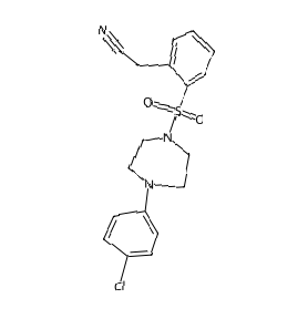 N#CCc1ccccc1S(=O)(=O)N1CCN(c2ccc(Cl)cc2)CC1